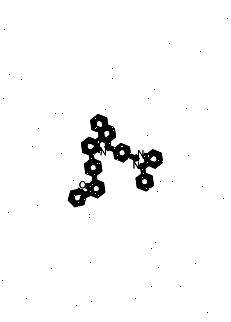 c1ccc(-c2nc(-c3ccc(-c4nc5c(-c6ccc(-c7cccc8c7oc7ccccc78)cc6)cccc5c5c4ccc4ccccc45)cc3)nc3ccccc23)cc1